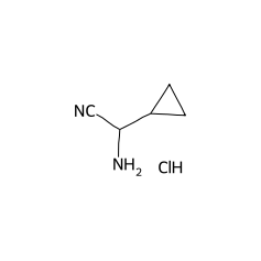 Cl.N#CC(N)C1CC1